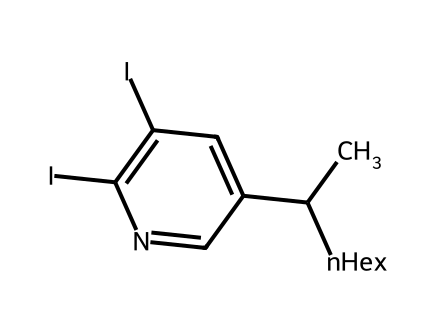 CCCCCCC(C)c1cnc(I)c(I)c1